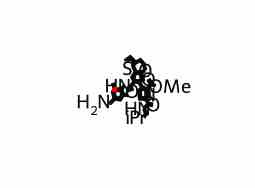 COC(=O)c1nc(C(=O)NCC(C)C)ccc1-c1cc2c(cc1C(=O)Nc1c(C)cc(CN)cc1C)-c1sccc1CCO2